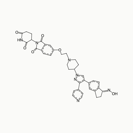 O=C1CCC(N2C(=O)c3ccc(OCCN4CCC(n5cc(-c6ccc7c(c6)CC/C7=N\O)c(-c6ccncc6)n5)CC4)cc3C2=O)C(=O)N1